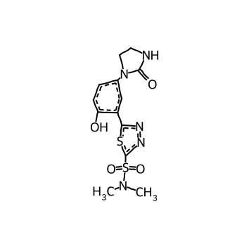 CN(C)S(=O)(=O)c1nnc(-c2cc(N3CCNC3=O)ccc2O)s1